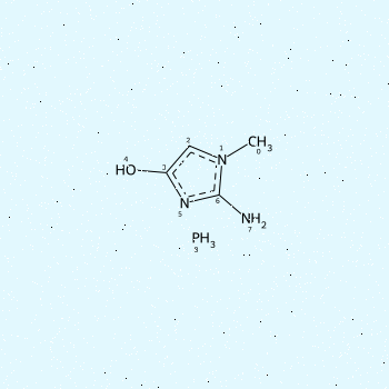 Cn1cc(O)nc1N.P